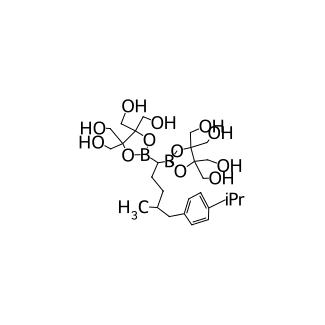 CC(CCC(B1OC(CO)(CO)C(CO)(CO)O1)B1OC(CO)(CO)C(CO)(CO)O1)Cc1ccc(C(C)C)cc1